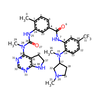 Cc1ccc(C(=O)Nc2cc(C(F)(F)F)ccc2N(C)C2CCN(C)C2)cc1NC(=O)N(C)c1ncnc2c1CCN2